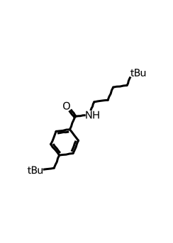 CC(C)(C)CCCCNC(=O)c1ccc(CC(C)(C)C)cc1